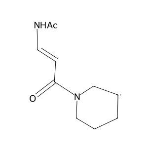 CC(=O)NC=CC(=O)N1C[CH]CCC1